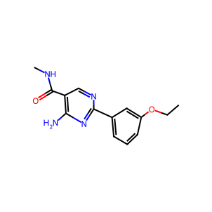 CCOc1cccc(-c2ncc(C(=O)NC)c(N)n2)c1